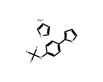 FC(F)(F)Oc1ccc(-c2ccc[cH-]2)cc1.[Fe+2].c1cc[cH-]c1